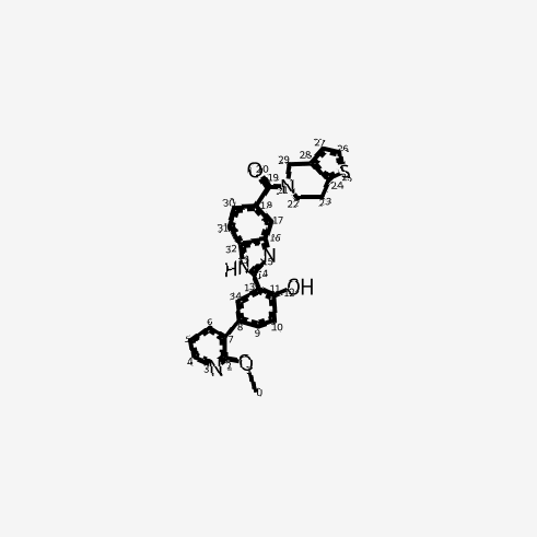 COc1ncccc1-c1ccc(O)c(-c2nc3cc(C(=O)N4CCc5sccc5C4)ccc3[nH]2)c1